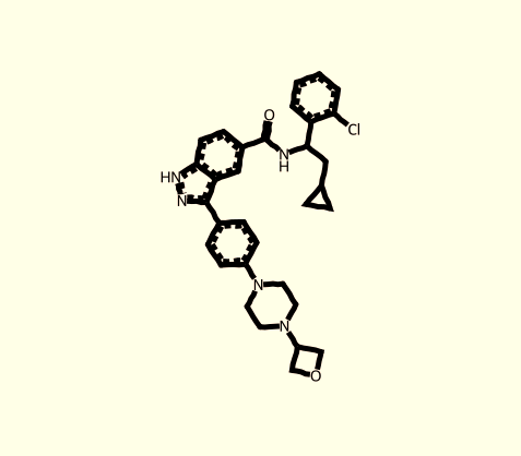 O=C(NC(CC1CC1)c1ccccc1Cl)c1ccc2[nH]nc(-c3ccc(N4CCN(C5COC5)CC4)cc3)c2c1